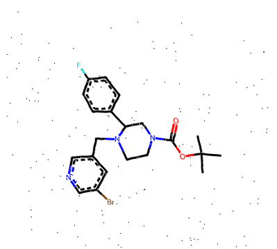 CC(C)(C)OC(=O)N1CCN(Cc2cncc(Br)c2)C(c2ccc(F)cc2)C1